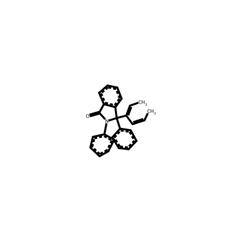 C/C=C\C(=C/C)C1(c2ccccc2)c2ccccc2C(=O)N1c1ccccc1